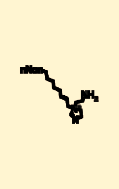 CCCCCCCCCCCCCCC=CC[N+]1(CCN)C=NCC1